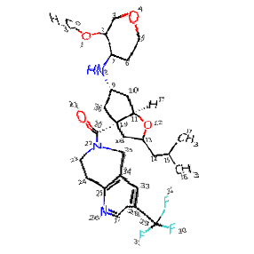 COC1COCCC1N[C@@H]1C[C@H]2OC(CC(C)C)C[C@@]2(C(=O)N2CCc3ncc(C(F)(F)F)cc3C2)C1